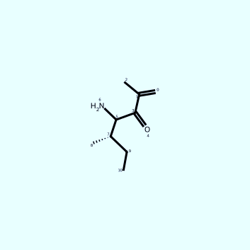 C=C(C)C(=O)C(N)[C@@H](C)CC